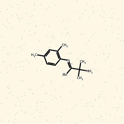 CCC(C)/C(=N\c1ccc(C)cc1C)C(C)(C)N